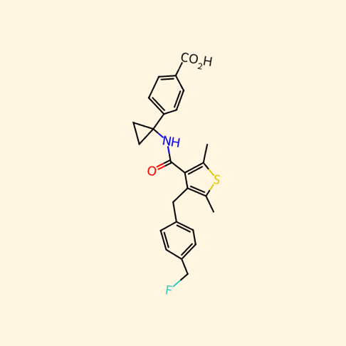 Cc1sc(C)c(C(=O)NC2(c3ccc(C(=O)O)cc3)CC2)c1Cc1ccc(CF)cc1